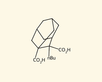 CCCCC1(C(=O)O)C2CC3CC(C2)CC1(C(=O)O)C3